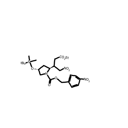 CCOC(=O)CC(C[N+](=O)[O-])[C@@H]1C[C@@H](O[Si](C)(C)C(C)(C)C)CN1C(=O)OCc1ccc([N+](=O)[O-])cc1